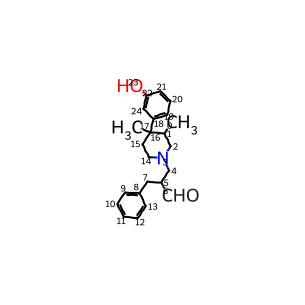 CC1CN(CC(C=O)Cc2ccccc2)CCC1(C)c1cccc(O)c1